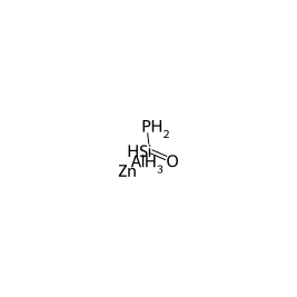 O=[SiH]P.[AlH3].[Zn]